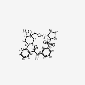 CCC1(C)CCN(c2ncccc2C(=O)Nc2cccc(S(=O)(=O)C3CCCC3)c2)CC1